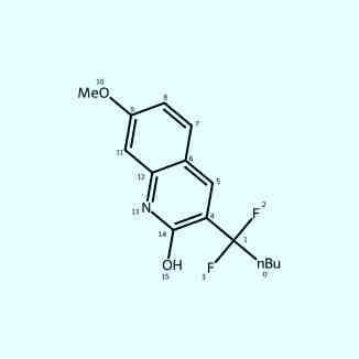 CCCCC(F)(F)c1cc2ccc(OC)cc2nc1O